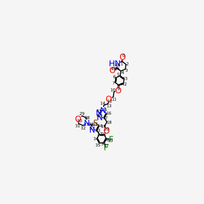 O=C1CCC(c2ccc(OCCOCCn3cc(CCOc4c(-c5csc(N6CCOCC6)n5)ccc(F)c4F)nn3)cc2)C(=O)N1